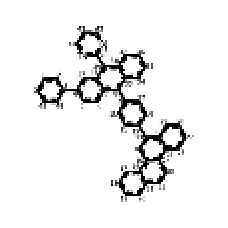 c1ccc(-c2ccc3c(-c4ccc(-c5cc6c7ccccc7ccc6c6ccccc56)cc4)c4ccccc4c(-c4ncccn4)c3c2)cc1